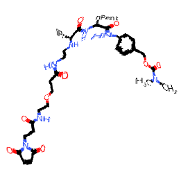 CCCCC[C@H](NC(=O)[C@@H](NCCNC(=O)CCOCCNC(=O)CCN1C(=O)C=CC1=O)C(C)C)C(=O)Nc1ccc(COC(=O)N(C)C)cc1